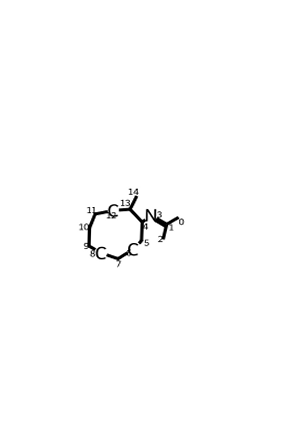 CC(C)=NC1CCCCCCCCC1C